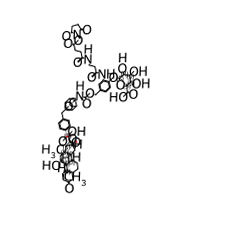 C[C@]12C=CC(=O)C=C1CC[C@@H]1[C@@H]2[C@@H](O)C[C@@]2(C)[C@H]1C[C@H]1O[C@@H](c3ccc(CC45CCC(NC(=O)OCc6ccc(O[C@@H]7O[C@H](C(=O)O)[C@@H](O)[C@H](O)[C@H]7O)c(NC(=O)CCNC(=O)CCC(=O)ON7C(=O)CCC7=O)c6)(CC4)CO5)cc3)O[C@]12C(=O)CO